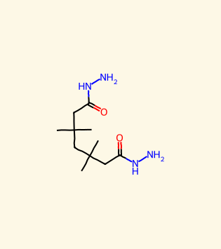 CC(C)(CC(=O)NN)CC(C)(C)CC(=O)NN